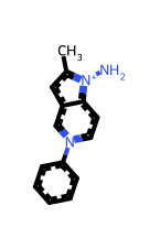 Cc1cc2cn(-c3ccccc3)ccc-2[n+]1N